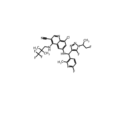 Cc1nc(F)ccc1C(Nc1cc(Cl)c2ncc(C#N)c(NCC(C)(C)C(F)(F)F)c2c1)c1nnn(C(C)CF)c1F